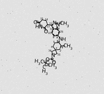 C[C@H]1CC2(CC[C@H]1Nc1ccc3c(C4CCC(=O)NC4=O)nn(C)c3c1)CN(C(=O)OC(C)(C)C)C2